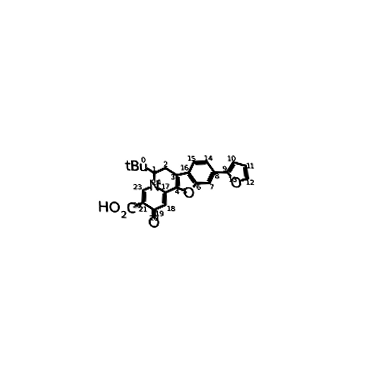 CC(C)(C)C1Cc2c(oc3cc(-c4ccco4)ccc23)-c2cc(=O)c(C(=O)O)cn21